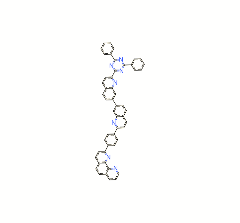 c1ccc(-c2nc(-c3ccccc3)nc(-c3ccc4ccc(-c5ccc6ccc(-c7ccc(-c8ccc9ccc%10cccnc%10c9n8)cc7)nc6c5)cc4n3)n2)cc1